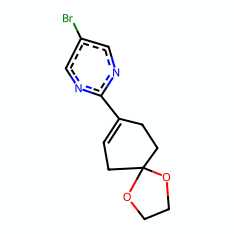 Brc1cnc(C2=CCC3(CC2)OCCO3)nc1